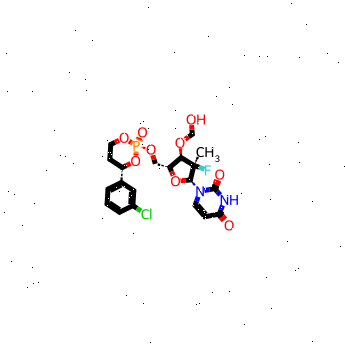 C[C@@]1(F)[C@H](OCO)[C@@H](CO[P@@]2(=O)OCC[C@@H](c3cccc(Cl)c3)O2)O[C@H]1n1ccc(=O)[nH]c1=O